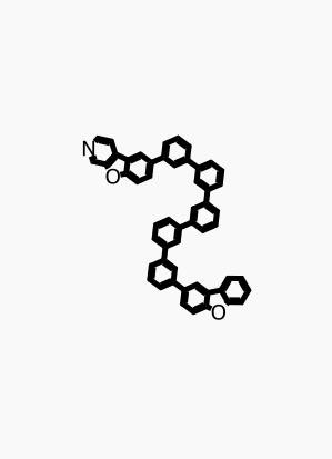 c1cc(-c2cccc(-c3cccc(-c4ccc5oc6ccccc6c5c4)c3)c2)cc(-c2cccc(-c3cccc(-c4ccc5oc6cnccc6c5c4)c3)c2)c1